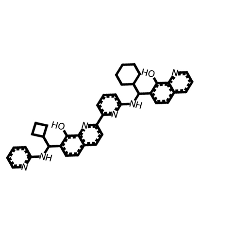 Oc1c(C(Nc2cccc(-c3ccc4ccc(C(Nc5ccccn5)C5CCC5)c(O)c4n3)n2)C2CCCCC2)ccc2cccnc12